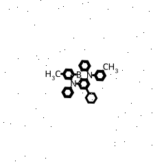 Cc1cccc(N2c3ccccc3B3c4ccc(C)cc4N(c4ccccc4)c4cc(C5CCCCC5)cc2c43)c1